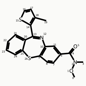 CON(C)C(=O)c1ccc2c(c1)N=C(c1sccc1C)c1ccccc1S2